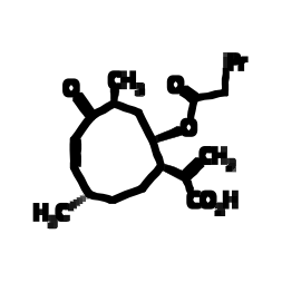 C=C(C(=O)O)[C@H]1CC[C@H](C)/C=C\C(=O)[C@@H](C)C[C@H]1OC(=O)CC(C)C